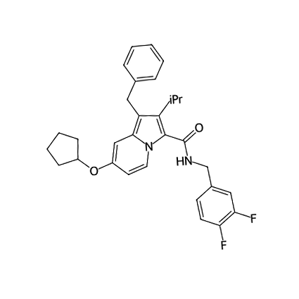 CC(C)c1c(Cc2ccccc2)c2cc(OC3CCCC3)ccn2c1C(=O)NCc1ccc(F)c(F)c1